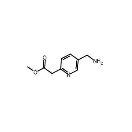 COC(=O)Cc1ccc(CN)cn1